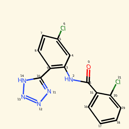 O=C(Nc1cc(Cl)ccc1-c1nnn[nH]1)c1ccccc1Cl